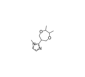 CC1OCC(c2nccn2C)COC1C